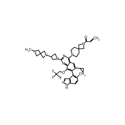 C=CC(=O)N1CC2(CCN(c3nc(N4CC(N5CC6(CN(C)C6)C5)C4)nc4c(OCC(F)(F)F)c(-c5c(C)ccc6[nH]ncc56)c(C5CC5)cc34)CC2)C1